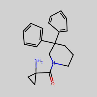 NC1(C(=O)N2CCCC(c3ccccc3)(c3ccccc3)C2)CC1